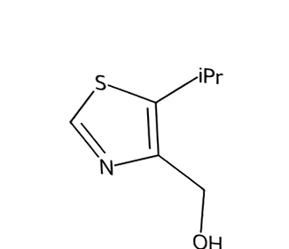 CC(C)c1scnc1CO